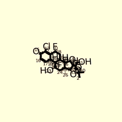 CC1(C)O[C@@H]2C[C@H]3[C@@H]4C[C@H](F)C5=C(Cl)C(=O)C=C[C@]5(C)[C@@]4(F)[C@@H](O)C[C@]3(C)[C@]2(C(=O)C(O)O)O1